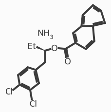 CC[C@H](Cc1ccc(Cl)c(Cl)c1)OC(=O)c1ccc2ccccc2c1.N